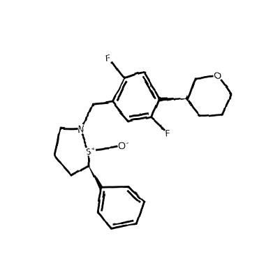 [O-][S+]1[C@@H](c2ccccc2)CCCN1Cc1cc(F)c([C@@H]2CCCOC2)cc1F